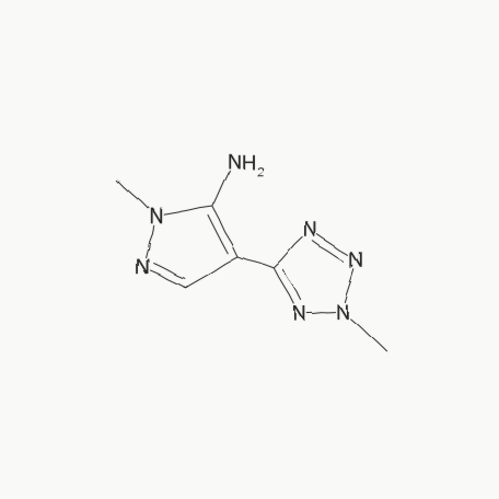 Cn1nnc(-c2cnn(C)c2N)n1